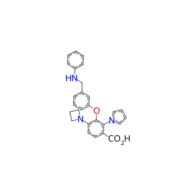 O=C(O)c1ccc(N2CCC2)c(Oc2cccc(CNc3ccccc3)c2)c1-n1cccc1